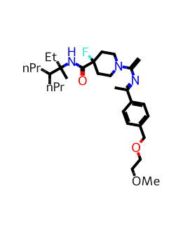 C=C(/N=C(\C)c1ccc(COCCOC)cc1)N1CCC(F)(C(=O)NC(C)(CC)C(CCC)CCC)CC1